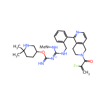 C=C(F)C(=O)N1CCc2c(ccnc2-c2ccccc2CN/C(=N/C(=N)OC2CCC(C)(C)NC2)NNC)C1